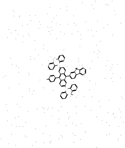 Cc1ccc(-c2c3ccc(N4c5ccccc5[Si](C)(C)c5ccccc54)cc3c(-c3ccc4c(c3)C(C)(C)c3ccccc3-4)c3ccc(N4c5ccccc5[Si](C)(C)c5ccccc54)cc23)cc1